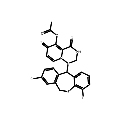 CC(=O)Oc1c2n(ccc1=O)N(C1c3ccc(Cl)cc3CSc3c(F)cccc31)CNC2=O